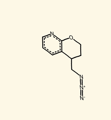 [N-]=[N+]=NCC1CCOc2ncccc21